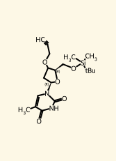 C#CCOC1C[C@H](n2cc(C)c(=O)[nH]c2=O)O[C@@H]1CO[Si](C)(C)C(C)(C)C